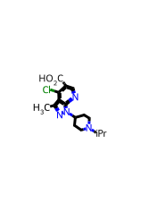 Cc1nn(C2CCN(C(C)C)CC2)c2ncc(C(=O)O)c(Cl)c12